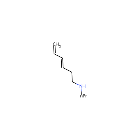 C=C/C=C/CCNCCC